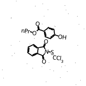 CCCOC(=O)c1ccc(O)cc1.O=C1c2ccccc2C(=O)N1SC(Cl)(Cl)Cl